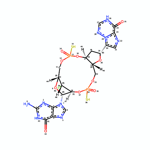 Nc1nc2c(ncn2[C@@H]2O[C@@H]3COP(=O)(S)O[C@H]4C[C@H](c5cnc6c(=O)[nH]cnn56)O[C@@H]4COP(=O)(S)O[C@@H]2[C@@H]3F)c(=O)[nH]1